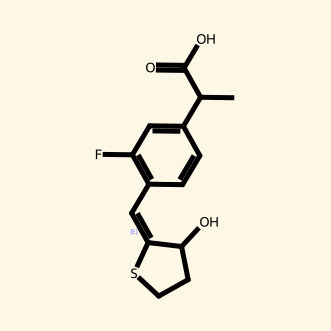 CC(C(=O)O)c1ccc(/C=C2/SCCC2O)c(F)c1